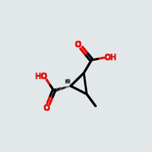 CC1C(C(=O)O)[C@H]1C(=O)O